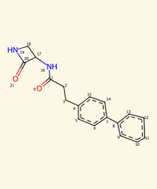 O=C(CCc1ccc(-c2ccccc2)cc1)NC1CNC1=O